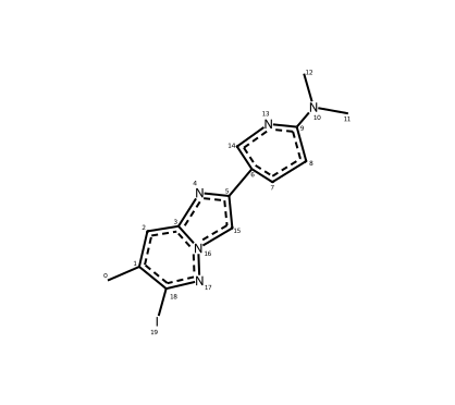 Cc1cc2nc(-c3ccc(N(C)C)nc3)cn2nc1I